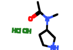 CC(=O)N(C)C1CCNC1.Cl.Cl